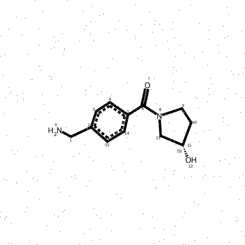 NCc1ccc(C(=O)N2CC[C@H](O)C2)cc1